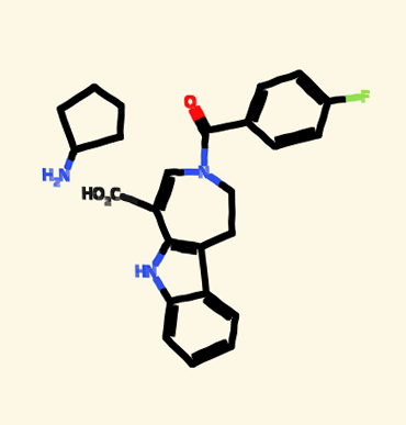 NC1CCCC1.O=C(O)C1=CN(C(=O)c2ccc(F)cc2)CCc2c1[nH]c1ccccc21